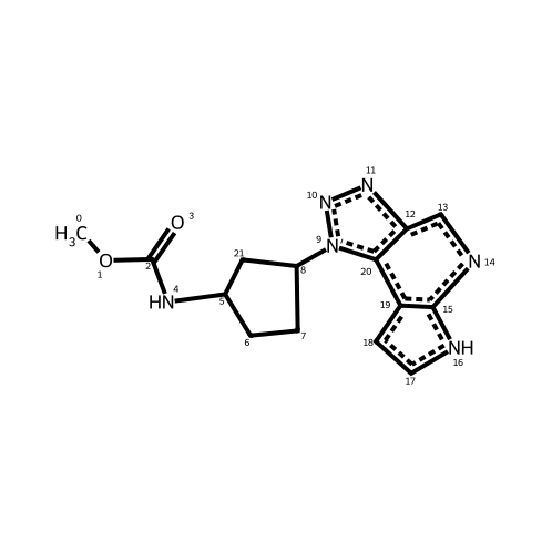 COC(=O)NC1CCC(n2nnc3cnc4[nH]ccc4c32)C1